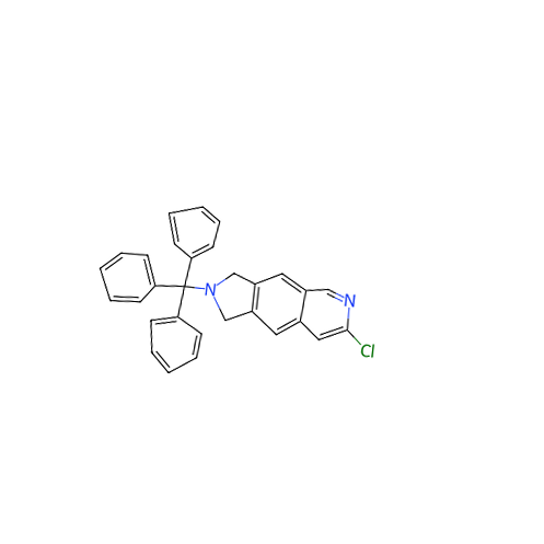 Clc1cc2cc3c(cc2cn1)CN(C(c1ccccc1)(c1ccccc1)c1ccccc1)C3